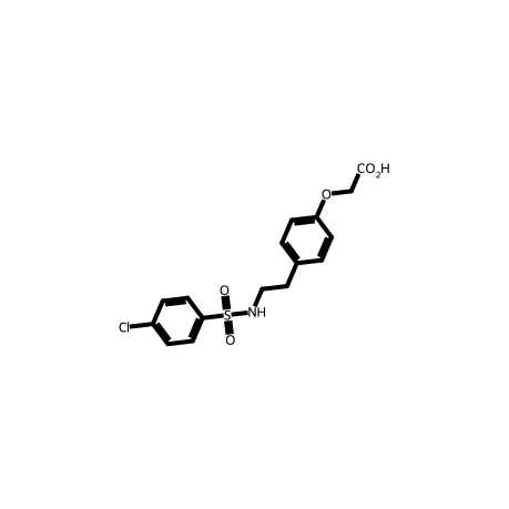 O=C(O)COc1ccc(CCNS(=O)(=O)c2ccc(Cl)cc2)cc1